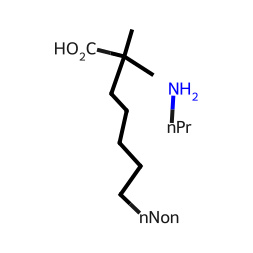 CCCCCCCCCCCCCCC(C)(C)C(=O)O.CCCN